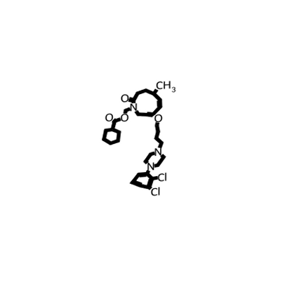 CC1/C=C\C(OCCCCN2CCN(c3cccc(Cl)c3Cl)CC2)=C/CN(COC(=O)C2CCCCC2)C(=O)CC1